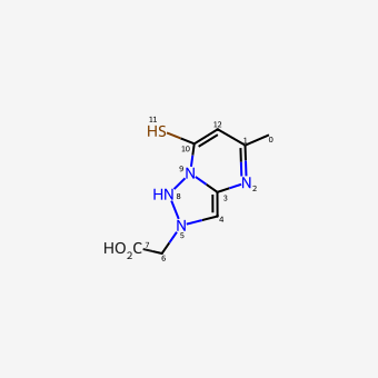 CC1=NC2=CN(CC(=O)O)NN2C(S)=C1